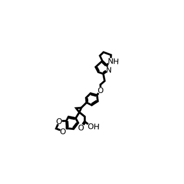 O=C(O)CC1(c2ccc3c(c2)OCO3)CC1c1ccc(OCCc2ccc3c(n2)NCCC3)cc1